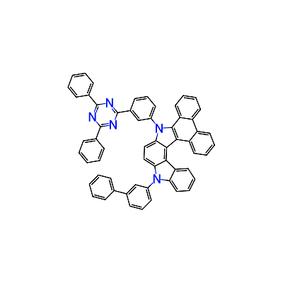 c1ccc(-c2cccc(-n3c4ccccc4c4c5c6c7ccccc7c7ccccc7c6n(-c6cccc(-c7nc(-c8ccccc8)nc(-c8ccccc8)n7)c6)c5ccc43)c2)cc1